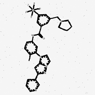 Cc1ccc(NC(=O)c2cc(CN3CCCC3)cc(S(F)(F)(F)(F)F)c2)cc1-n1ccn2nc(-c3cccnc3)cc12